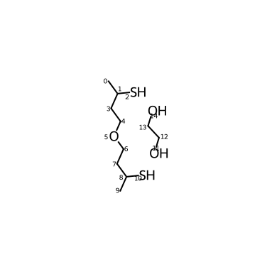 CC(S)CCOCCC(C)S.OCCO